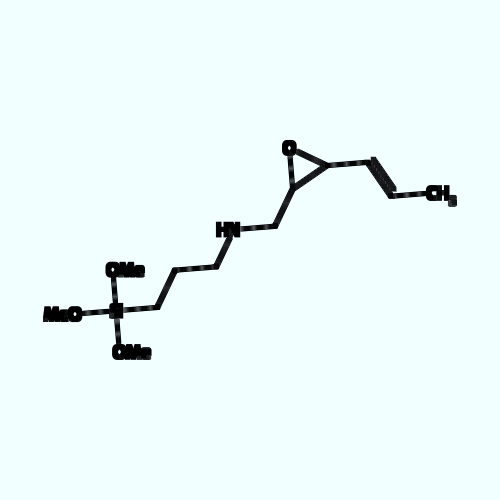 CC=CC1OC1CNCCC[Si](OC)(OC)OC